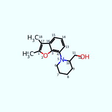 Cc1oc2c(N3CCCCC3CO)cccc2c1C